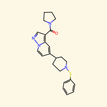 O=C(c1cnn2ccc(C3CCN(Sc4ccccc4)CC3)cc12)N1CCCC1